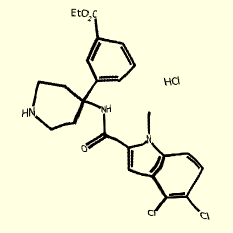 CCOC(=O)c1cccc(C2(NC(=O)c3cc4c(Cl)c(Cl)ccc4n3C)CCNCC2)c1.Cl